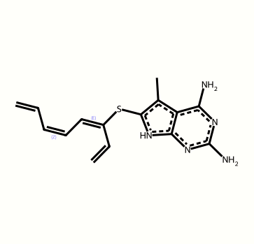 C=C/C=C\C=C(/C=C)Sc1[nH]c2nc(N)nc(N)c2c1C